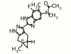 CC(=O)N(C)c1cc2nc(-c3n[nH]c4c3C[C@@H]3C[C@]3(C)C4)[nH]c2c(F)c1C